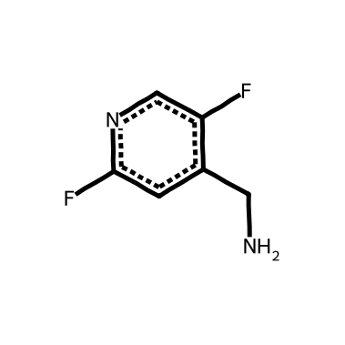 NCc1cc(F)ncc1F